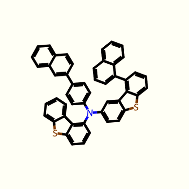 c1ccc2cc(-c3ccc(N(c4ccc5sc6cccc(-c7cccc8ccccc78)c6c5c4)c4cccc5sc6ccccc6c45)cc3)ccc2c1